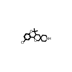 CC1(C)Oc2ccc(Cl)cc2C2OCC3(CCNCC3)CC21